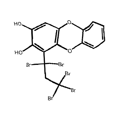 Oc1cc2c(c(C(Br)(Br)CC(Br)(Br)Br)c1O)Oc1ccccc1O2